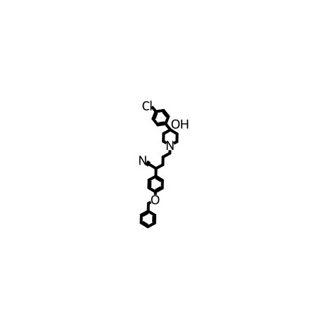 N#CC(CCCN1CCC(O)(c2ccc(Cl)cc2)CC1)c1ccc(OCc2ccccc2)cc1